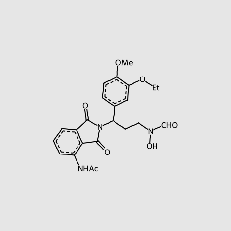 CCOc1cc(C(CCN(O)C=O)N2C(=O)c3cccc(NC(C)=O)c3C2=O)ccc1OC